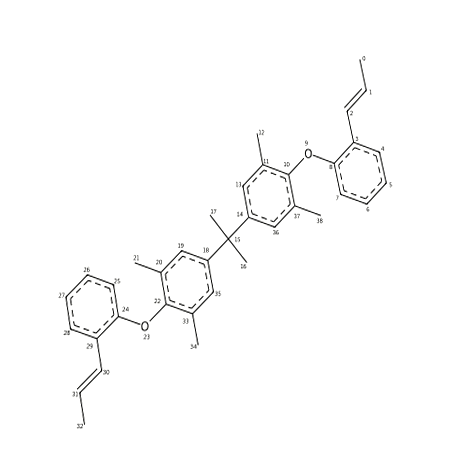 CC=Cc1ccccc1Oc1c(C)cc(C(C)(C)c2cc(C)c(Oc3ccccc3C=CC)c(C)c2)cc1C